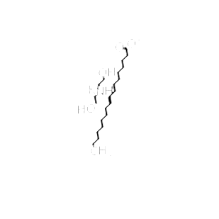 CCCCCCCCC=CCCCCCCCC(=O)[O-].OCCNCCO.[K+]